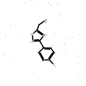 Fc1ccc(-c2noc(CCl)n2)cc1